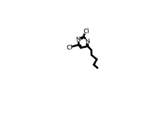 CCCCCc1cc(Cl)nc(Cl)n1